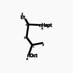 CCCCCCCCC(C)[CH]C(CC)CCCCCCC